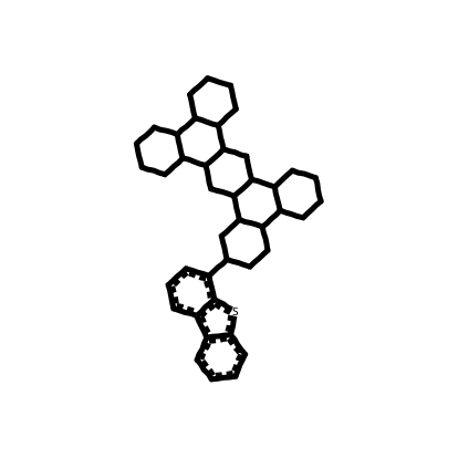 c1ccc2c(c1)sc1c(C3CCC4C5CCCCC5C5CC6C7CCCCC7C7CCCCC7C6CC5C4C3)cccc12